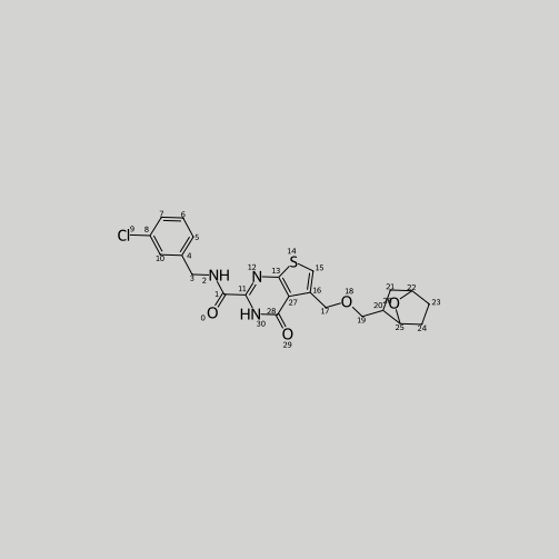 O=C(NCc1cccc(Cl)c1)c1nc2scc(COCC3CC4CCC3O4)c2c(=O)[nH]1